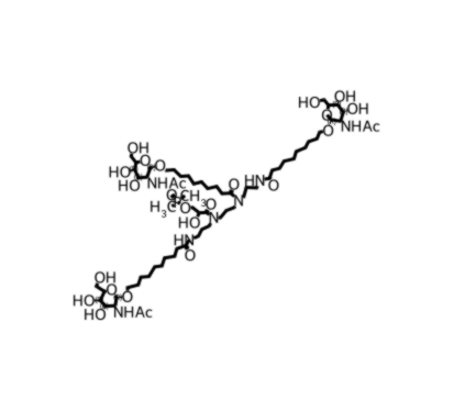 CC(=O)NC1[C@H](OCCCCCCCCCC(=O)NCCCN(CCCN(CCCNC(=O)CCCCCCCCCO[C@@H]2OC(CO)[C@H](O)[C@H](O)C2NC(C)=O)C(=O)C(O)COP(C)(C)=O)C(=O)CCCCCCCCCO[C@@H]2OC(CO)[C@H](O)[C@H](O)C2NC(C)=O)OC(CO)[C@H](O)[C@@H]1O